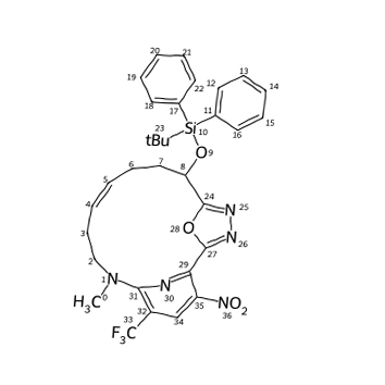 CN1CCC=CCCC(O[Si](c2ccccc2)(c2ccccc2)C(C)(C)C)c2nnc(o2)-c2nc1c(C(F)(F)F)cc2[N+](=O)[O-]